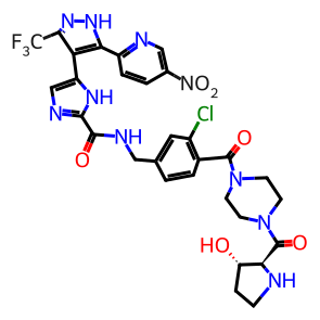 O=C(NCc1ccc(C(=O)N2CCN(C(=O)[C@H]3NCC[C@@H]3O)CC2)c(Cl)c1)c1ncc(-c2c(C(F)(F)F)n[nH]c2-c2ccc([N+](=O)[O-])cn2)[nH]1